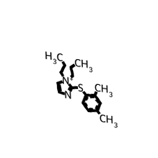 CCC[N+]1(CCC)C=CN=C1Sc1ccc(C)cc1C